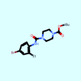 CCc1cc(Br)ccc1NC(=O)N1CCN(C(=O)OC(C)(C)C)CC1